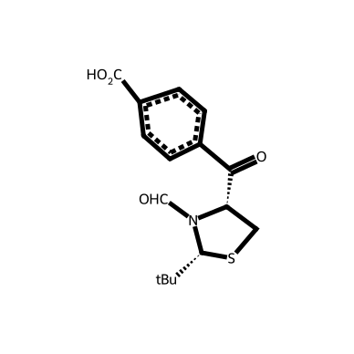 CC(C)(C)[C@H]1SC[C@@H](C(=O)c2ccc(C(=O)O)cc2)N1C=O